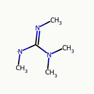 C[N]/C(=N/C)N(C)C